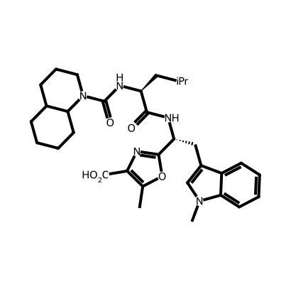 Cc1oc([C@@H](Cc2cn(C)c3ccccc23)NC(=O)[C@H](CC(C)C)NC(=O)N2CCCC3CCCCC32)nc1C(=O)O